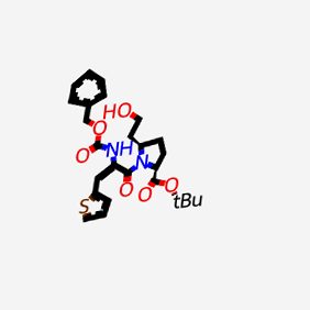 CC(C)(C)OC(=O)[C@@H]1CC[C@H](CCO)N1C(=O)C(=Cc1cccs1)NC(=O)OCc1ccccc1